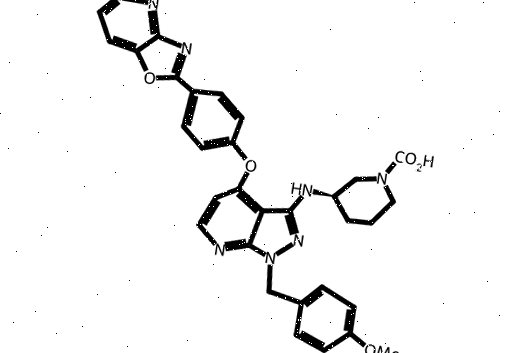 COc1ccc(Cn2nc(N[C@@H]3CCCN(C(=O)O)C3)c3c(Oc4ccc(-c5nc6ncccc6o5)cc4)ccnc32)cc1